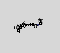 Cc1[nH]c(C=C2C(=O)Nc3ccc(F)cc32)c(C)c1C(=O)NCCCCCCNC(=O)/C=C/c1ccnc(C(F)(F)F)c1